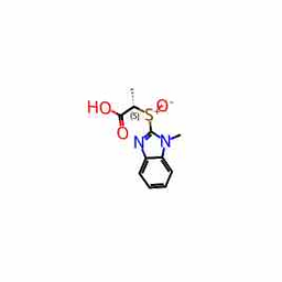 C[C@@H](C(=O)O)[S+]([O-])c1nc2ccccc2n1C